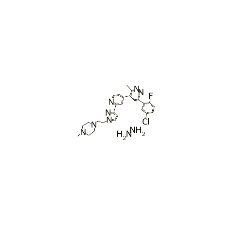 Cc1nnc(-c2cc(Cl)ccc2F)cc1-c1ccnc(-c2ccn(CCN3CCN(C)CC3)n2)c1.NN